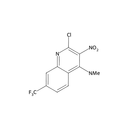 CNc1c([N+](=O)[O-])c(Cl)nc2cc(C(F)(F)F)ccc12